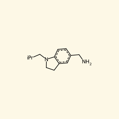 CC(C)CN1CCc2cc(CN)ccc21